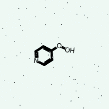 OOc1ccncc1